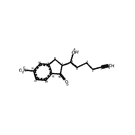 C#CCCCC(O)C1Cc2cc([N+](=O)[O-])ccc2C1=O